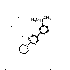 CN(C)c1cccc(-c2cnc(N3CCCCC3)nc2)c1